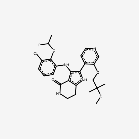 COC(C)(C)COc1cnccc1-c1[nH]c2c(c1Nc1cccc(Cl)c1OC(C)F)C(=O)NCC2